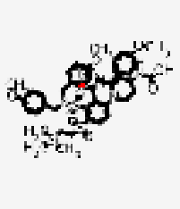 COc1ccc(CN(Cc2ccc(OC)cc2)S(=O)(=O)c2c(S(=O)(=O)CC[Si](C)(C)C)ccc(N3CC[C@H](NC(=O)O)[C@H](F)C3)c2-c2nnnn2Cc2ccc(OC)cc2)cc1